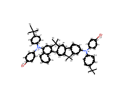 CC(C)(C)c1ccc(N(c2ccc(Br)cc2)c2ccc3c(c2)C(C)(C)c2cc4c(cc2-3)C(C)(C)c2cc(N(c3ccc(Br)cc3)c3ccc(C(C)(C)C)cc3)c3ccccc3c2-4)cc1